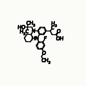 CCOc1ccc(Nc2cc(C(C)CC(=O)O)ccc2N(CC(C)(C)O)C2CCCCC2)c(F)c1